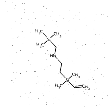 C=C[Si](C)(C)CCNC[Si](C)(C)C